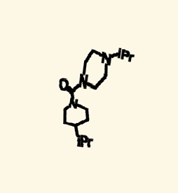 CC(C)C1CCN(C(=O)N2CCN(C(C)C)CC2)CC1